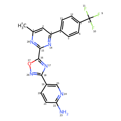 Cc1cc(-c2ccc(C(F)(F)F)cc2)nc(-c2nc(-c3ccc(N)nc3)no2)n1